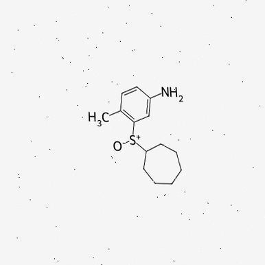 Cc1ccc(N)cc1[S+]([O-])C1CCCCCC1